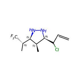 C=CC(Cl)[C@@H]1NN[C@H]([C@H](C)C(F)(F)F)[C@@H]1C